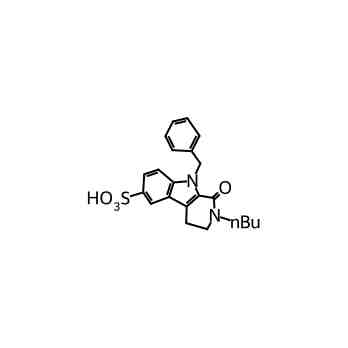 CCCCN1CCc2c(n(Cc3ccccc3)c3ccc(S(=O)(=O)O)cc23)C1=O